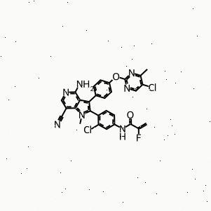 C=C(F)C(=O)Nc1ccc(-c2c(-c3ccc(Oc4ncc(Cl)c(C)n4)cc3)c3c(N)ncc(C#N)c3n2C)c(Cl)c1